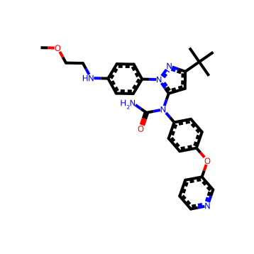 COCCNc1ccc(-n2nc(C(C)(C)C)cc2N(C(N)=O)c2ccc(Oc3cccnc3)cc2)cc1